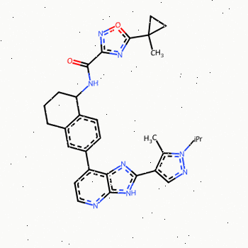 Cc1c(-c2nc3c(-c4ccc5c(c4)CCCC5NC(=O)c4noc(C5(C)CC5)n4)ccnc3[nH]2)cnn1C(C)C